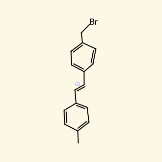 Cc1ccc(/C=C/c2ccc(CBr)cc2)cc1